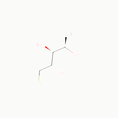 O=C[C@@H](O)[C@H](O)[C@H](O)CS